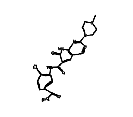 COC(=O)c1ccc(Cl)c(NC(=O)c2cc3cnc(N4CCN(C)CC4)nc3[nH]c2=O)c1